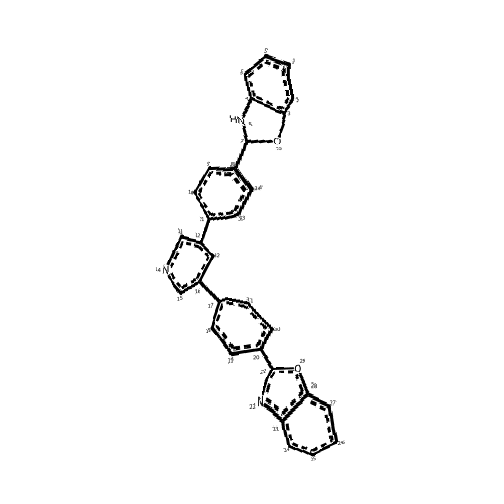 c1ccc2c(c1)NC(c1ccc(-c3cncc(-c4ccc(-c5nc6ccccc6o5)cc4)c3)cc1)O2